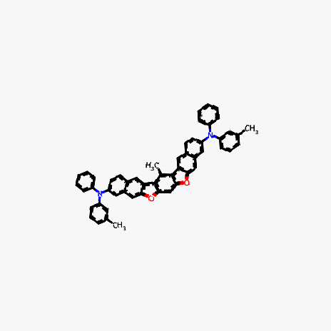 Cc1cccc(N(c2ccccc2)c2ccc3cc4c(cc3c2)oc2cc3oc5cc6cc(N(c7ccccc7)c7cccc(C)c7)ccc6cc5c3c(C)c24)c1